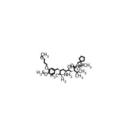 COCCCOc1cc(C[C@@H](C[C@H](N)[C@@H](O)C[C@H](C(=O)NCC2(N(C)C)CCCC2)C(C)C)C(C)C)ccc1OC